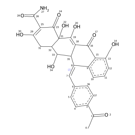 CC(=O)c1ccc(/C=C2\c3cccc(O)c3C(=O)C3=C(O)C4(O)C(=O)C(C(N)=O)=C(O)CC4C(O)C32)cc1